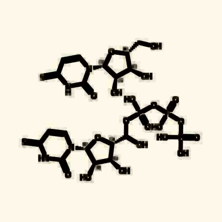 O=c1[nH]c(=S)ccn1[C@@H]1O[C@H](C(O)OP(=O)(O)OP(=O)(O)OP(=O)(O)O)[C@@H](O)[C@H]1O.O=c1[nH]c(=S)ccn1[C@@H]1O[C@H](CO)[C@@H](O)[C@H]1O